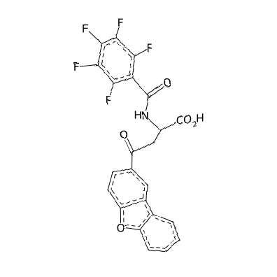 O=C(CC(NC(=O)c1c(F)c(F)c(F)c(F)c1F)C(=O)O)c1ccc2oc3ccccc3c2c1